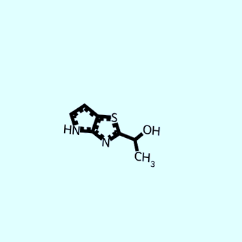 CC(O)c1nc2[nH]ccc2s1